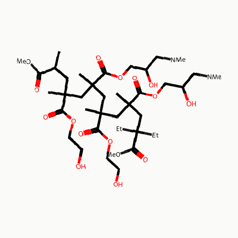 CCC(CC)(CC(C)(CC(C)(CC(C)(CC(C)(CC(C)C(=O)OC)C(=O)OCCO)C(=O)OCC(O)CNC)C(=O)OCCO)C(=O)OCC(O)CNC)C(=O)OC